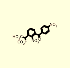 O=C(c1ccc([N+](=O)[O-])cc1)c1cccc(C(C(=O)O)C(=O)O)c1[N+](=O)[O-]